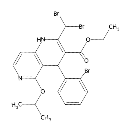 CCOC(=O)C1=C(C(Br)Br)Nc2ccnc(OC(C)C)c2C1c1ccccc1Br